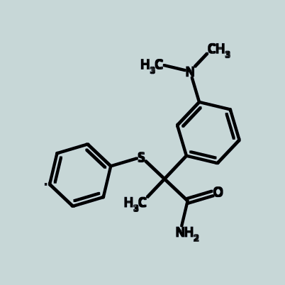 CN(C)c1cccc(C(C)(Sc2cc[c]cc2)C(N)=O)c1